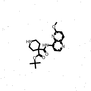 COc1ccc2nccc(NC(=O)C3(C(=O)OC(C)(C)C)CCNCC3)c2n1